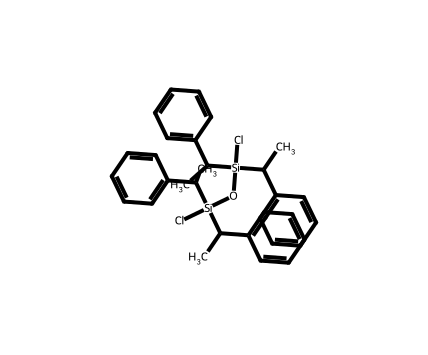 CC(c1ccccc1)[Si](Cl)(O[Si](Cl)(C(C)c1ccccc1)C(C)c1ccccc1)C(C)c1ccccc1